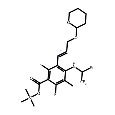 CCC(Nc1c(C)c(F)c(C(=O)O[Si](C)(C)C)c(F)c1/C=C/COC1CCCCO1)C(F)(F)F